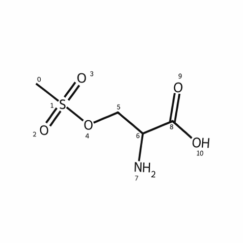 CS(=O)(=O)OCC(N)C(=O)O